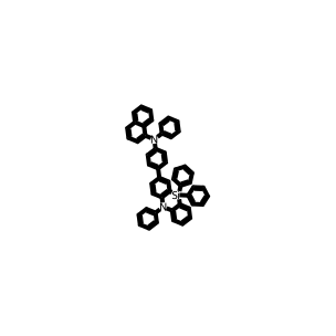 c1ccc(N2c3ccccc3[Si](c3ccccc3)(c3ccccc3)c3cc(-c4ccc(N(c5ccccc5)c5cccc6ccccc56)cc4)ccc32)cc1